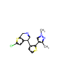 Cc1nn(C)cc1-c1sccc1C1C=NCc2sc(Cl)cc21